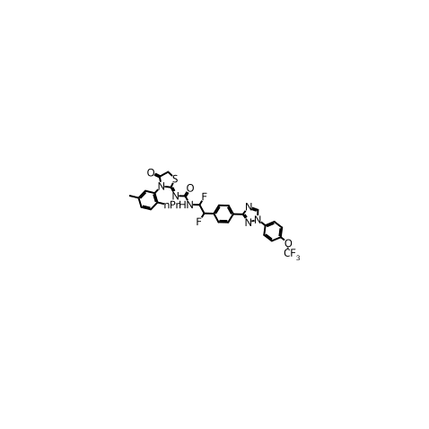 CCCc1ccc(C)cc1N1C(=O)CS/C1=N\C(=O)NC(F)C(F)c1ccc(-c2ncn(-c3ccc(OC(F)(F)F)cc3)n2)cc1